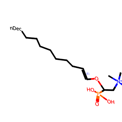 CCCCCCCCCCCCCCCCC/C=C/OC(C[N+](C)(C)C)P(=O)(O)O